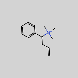 C=CCC(c1ccccc1)[N+](C)(C)C